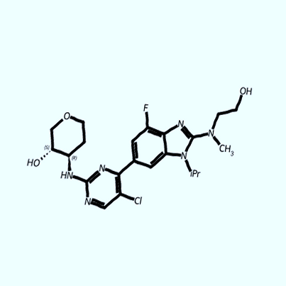 CC(C)n1c(N(C)CCO)nc2c(F)cc(-c3nc(N[C@@H]4CCOC[C@H]4O)ncc3Cl)cc21